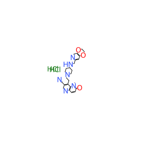 Cl.Cl.Cn1c(=O)ccc2ncc(C#N)c(CCN3CCC(NCc4cc5c(cn4)OCCO5)CC3)c21